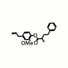 C=CCc1ccc(OC(=O)C(C)CCc2ccccc2)c(OC)c1